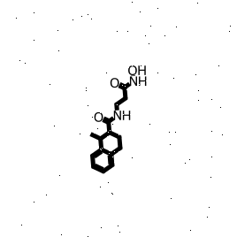 CC1c2ccccc2CCC1C(=O)NCCC(=O)NO